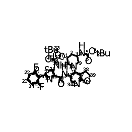 C[C@@H]1C[C@H](NC(=O)OC(C)(C)C)CN(c2c(NC(=O)c3nc(-c4c(F)cccc4F)sc3NC(=O)OC(C)(C)C)cnc3c2CCO3)C1